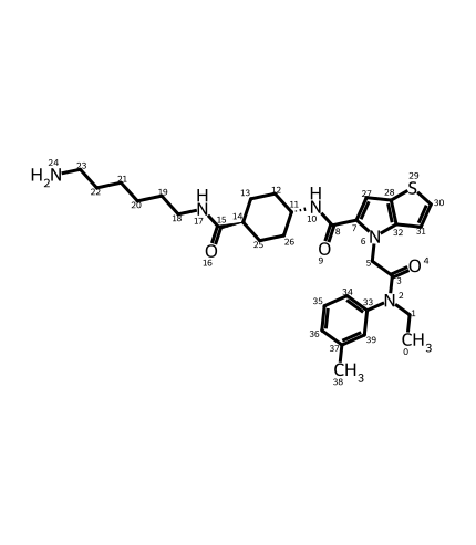 CCN(C(=O)Cn1c(C(=O)N[C@H]2CC[C@H](C(=O)NCCCCCCN)CC2)cc2sccc21)c1cccc(C)c1